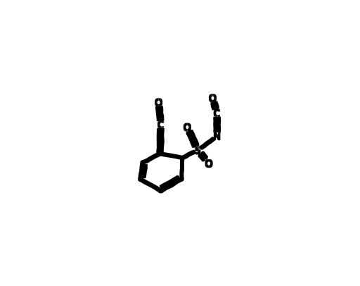 O=C=NS(=O)(=O)C1C=CC=CC1=C=O